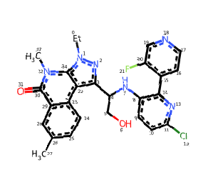 CCn1nc(C(CO)Nc2ccc(Cl)nc2-c2ccncc2F)c2c3ccc(C)cc3c(=O)n(C)c21